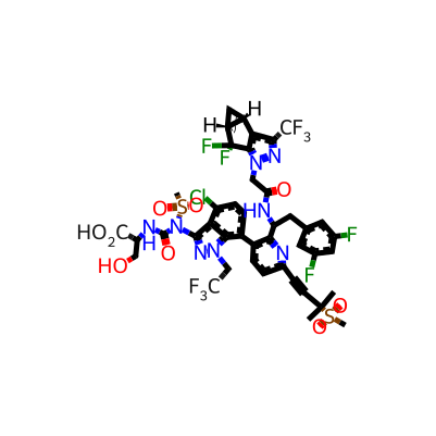 CC(C)(C#Cc1ccc(-c2ccc(Cl)c3c(N(C(=O)NC(CO)C(=O)O)S(C)(=O)=O)nn(CC(F)(F)F)c23)c(C(Cc2cc(F)cc(F)c2)NC(=O)Cn2nc(C(F)(F)F)c3c2C(F)(F)[C@@H]2C[C@H]32)n1)S(C)(=O)=O